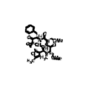 COC[C@H](NC(=O)[C@H](COC)N(C)C(=O)c1cc(C)on1)C(=O)N[C@@H](Cc1ccccc1)C(=O)[C@@]1(C)CO1